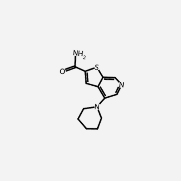 NC(=O)c1cc2c(N3CCCCC3)cncc2s1